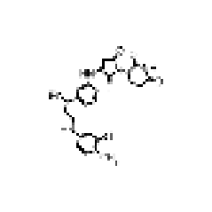 Cc1ccc(NCCC(c2cccc(NC3=CC(=O)N(C4CCC(=O)NC4=O)C3=O)c2)C(C)C)cc1Cl